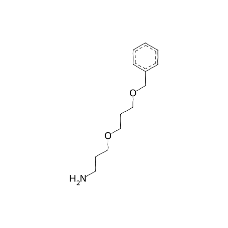 NCCCOCCCOCc1ccccc1